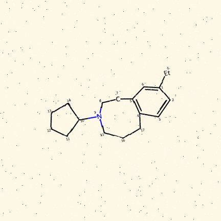 CCc1ccc2c(c1)CCN(C1CCCC1)CCC2